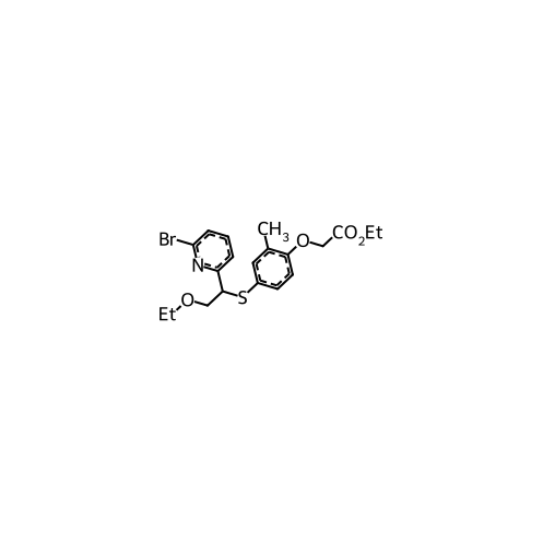 CCOCC(Sc1ccc(OCC(=O)OCC)c(C)c1)c1cccc(Br)n1